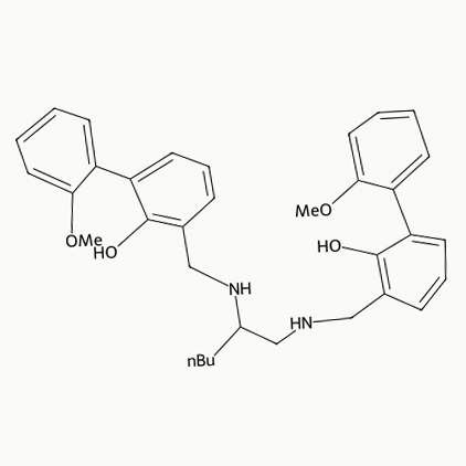 CCCCC(CNCc1cccc(-c2ccccc2OC)c1O)NCc1cccc(-c2ccccc2OC)c1O